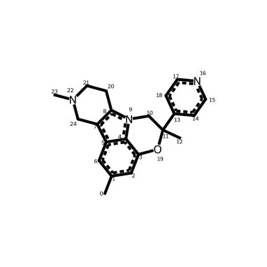 Cc1cc2c3c(c1)c1c(n3CC(C)(c3ccncc3)O2)CCN(C)C1